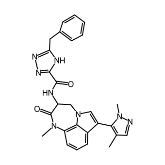 Cc1cnn(C)c1-c1cn2c3c(cccc13)N(C)C(=O)C(NC(=O)c1nnc(Cc3ccccc3)[nH]1)C2